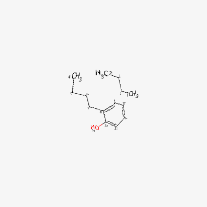 CCCC.CCCCc1ccccc1O